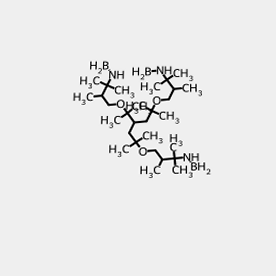 BNC(C)(C)C(C)COC(C)(C)CC(CC(C)(C)OCC(C)C(C)(C)NB)C(C)(C)OCC(C)C(C)(C)NB